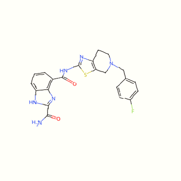 NC(=O)c1nc2c(C(=O)Nc3nc4c(s3)CN(Cc3ccc(F)cc3)CC4)cccc2[nH]1